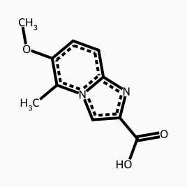 COc1ccc2nc(C(=O)O)cn2c1C